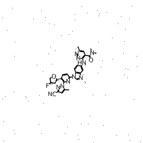 Cc1cc(C(=O)N(C)C)c(Nc2ccc3c(c2)ncn3-c2ccc([C@H]3C[C@@H](F)CO3)c(-n3nc(C#N)cc3C)n2)nn1